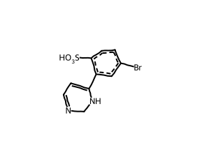 O=S(=O)(O)c1ccc(Br)cc1C1=CC=NCN1